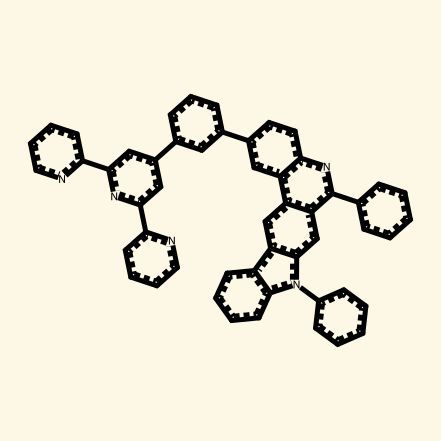 c1ccc(-c2nc3ccc(-c4cccc(-c5cc(-c6ccccn6)nc(-c6ccccn6)c5)c4)cc3c3cc4c5ccccc5n(-c5ccccc5)c4cc23)cc1